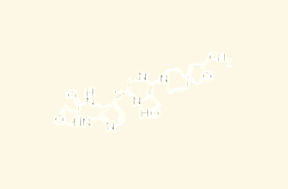 C[C@H]1CC2(CCN(c3ncc(Sc4ccnc5c4NC(=O)C4(COC4)N5)nc3CO)CC2)CO1